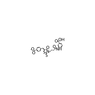 COC(=O)c1ccc(/C=C2\SC(=S)N(CCCC(=O)Nc3cccc(C(=O)O)c3)C2=O)cc1